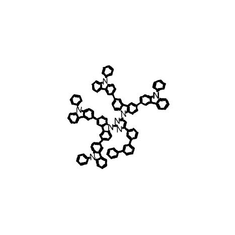 c1ccc(-c2cccc(-c3cccc(-c4cc(-n5c6ccc(-c7ccc8c(c7)c7ccccc7n8-c7ccccc7)cc6c6cc(-c7ccc8c(c7)c7ccccc7n8-c7ccccc7)ccc65)nc(-n5c6ccc(-c7ccc8c(c7)c7ccccc7n8-c7ccccc7)cc6c6cc(-c7ccc8c(c7)c7ccccc7n8-c7ccccc7)ccc65)n4)c3)c2)cc1